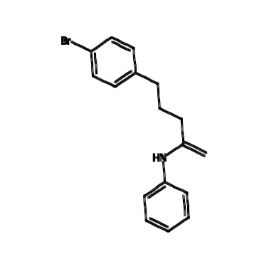 C=C(CCCc1ccc(Br)cc1)Nc1ccccc1